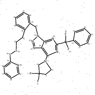 FC1(F)CCN(c2nc(C(F)(F)c3ccccc3)nc3c2nnn3Cc2ccccc2CCSSc2ccccn2)C1